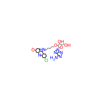 COc1ccc2c(NCCCCCOC3C(O)[C@@H](CO)O[C@H]3n3cnc4c(N)ncnc43)c3ccc(Cl)cc3nc2c1